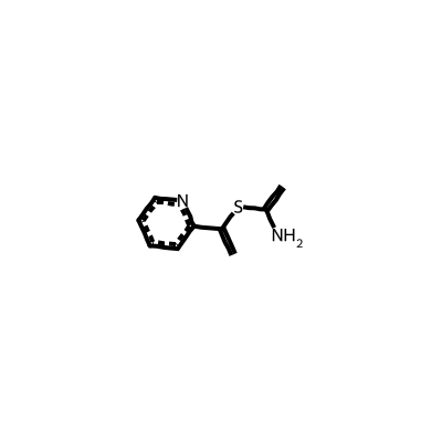 C=C(N)SC(=C)c1ccccn1